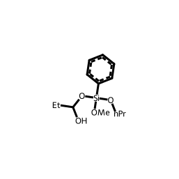 CCCO[Si](OC)(OC(O)CC)c1ccccc1